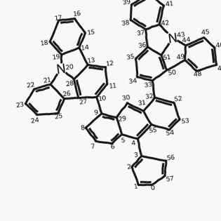 c1ccc(-c2c3cccc(-c4ccc5c6ccccc6n6c7ccccc7c4c56)c3cc3c(-c4ccc5c6ccccc6n6c7ccccc7c4c56)cccc23)cc1